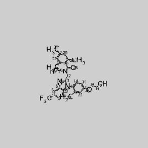 CCCN(Cc1nc2cc(C(F)(F)F)ccc2n1-c1ccc(OCCO)cc1C)C(=O)c1c(C)cc(C)cc1C